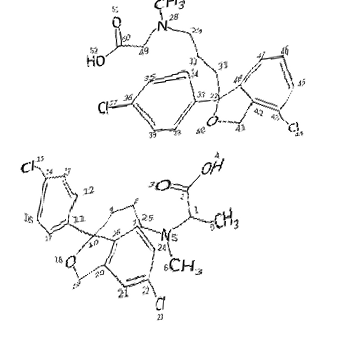 CC(C(=O)O)N(C)CCCC1(c2ccc(Cl)cc2)OCc2cc(Cl)ccc21.CN(CCCC1(c2ccc(Cl)cc2)OCc2c(Cl)cccc21)CC(=O)O